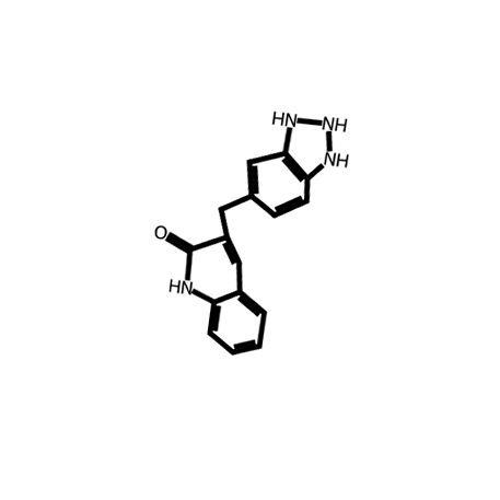 O=c1[nH]c2ccccc2cc1Cc1ccc2c(c1)NNN2